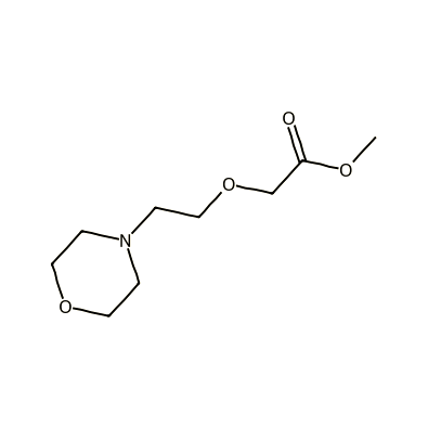 COC(=O)COCCN1CCOCC1